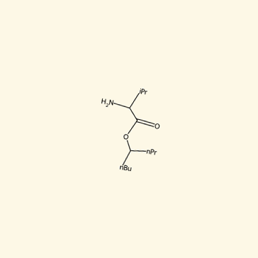 CCCCC(CCC)OC(=O)C(N)C(C)C